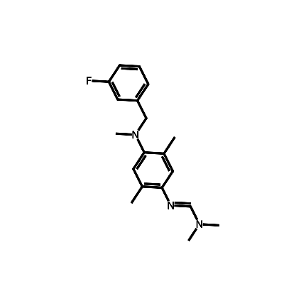 Cc1cc(N(C)Cc2cccc(F)c2)c(C)cc1N=CN(C)C